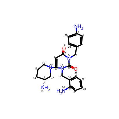 Nc1ccc(Cn2c(=O)cc(N3CCC[C@@H](N)C3)n(Cc3ccccc3N)c2=O)cc1